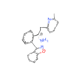 Cc1cccc(C[C@H](N)c2ccccc2-c2noc3ccccc23)n1